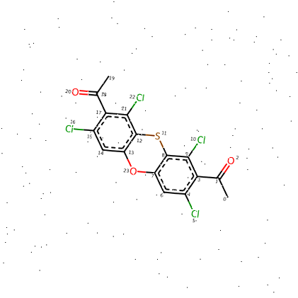 CC(=O)c1c(Cl)cc2c(c1Cl)Sc1c(cc(Cl)c(C(C)=O)c1Cl)O2